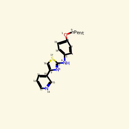 CCCCCOc1ccc(Nc2nc(-c3cccnc3)cs2)cc1